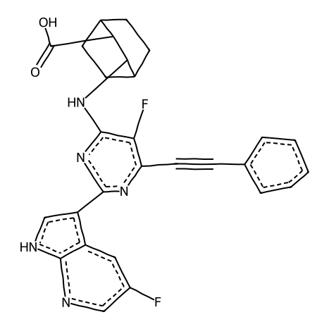 O=C(O)C1C2CCC(CC2)C1Nc1nc(-c2c[nH]c3ncc(F)cc23)nc(C#Cc2ccccc2)c1F